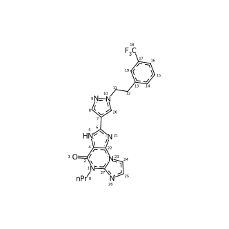 CCCn1c(=O)c2[nH]c(-c3cnn(CCc4cccc(C(F)(F)F)c4)c3)nc2n2ccnc12